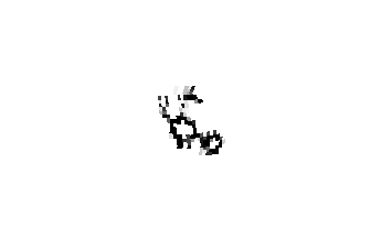 CC(C)Nc1cc(-n2cccn2)ncc1C=O